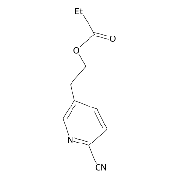 CCC(=O)OCCc1ccc(C#N)nc1